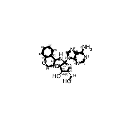 Nc1ncnc2c1ncn2[C@]1(NC2CCOc3ccccc32)O[C@H](CO)[C@@H](O)[C@H]1O